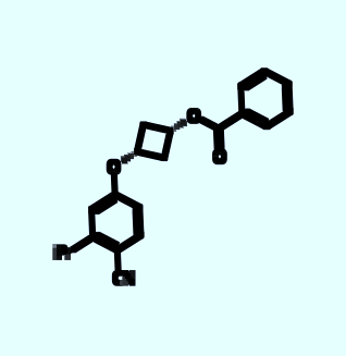 CC(C)c1cc(O[C@H]2C[C@@H](OC(=O)c3ccccc3)C2)ccc1C#N